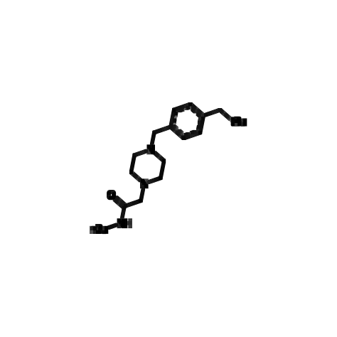 CCCCNC(=O)CN1CCN(Cc2ccc(CC(C)(C)C)cc2)CC1